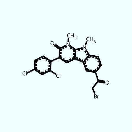 Cn1c(=O)c(-c2ccc(Cl)cc2Cl)cc2c3cc(C(=O)CBr)ccc3n(C)c21